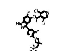 C[C@@H](Oc1cc2c(-c3cnc(N4CC(C)(CP(C)(C)=O)C4)c(F)c3)n[nH]c2cc1F)c1c(Cl)cncc1Cl